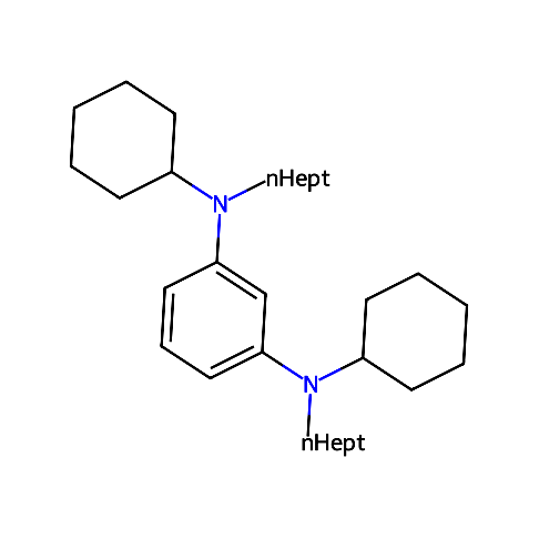 CCCCCCCN(c1cccc(N(CCCCCCC)C2CCCCC2)c1)C1CCCCC1